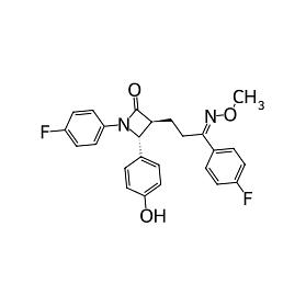 CO/N=C(/CC[C@@H]1C(=O)N(c2ccc(F)cc2)[C@H]1c1ccc(O)cc1)c1ccc(F)cc1